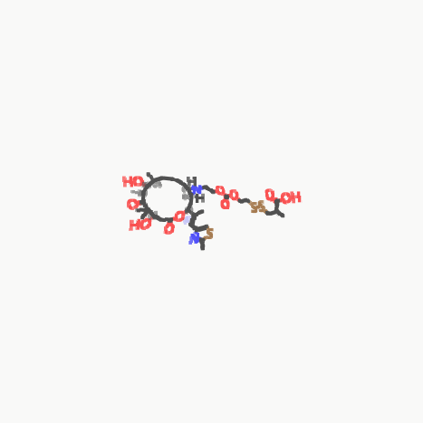 C/C(=C\c1csc(C)n1)[C@@H]1C[C@H]2[C@@H](CCC[C@H](C)[C@H](O)[C@@H](C)C(=O)C(C)(C)[C@@H](O)CC(=O)O1)N2CCOC(=O)OCCSSCC(C)C(=O)O